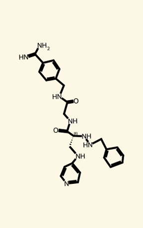 N=C(N)c1ccc(CNC(=O)CNC(=O)[C@@H](CNc2ccncc2)NNCc2ccccc2)cc1